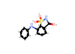 O=C1NS(=O)(=O)c2c(Nc3ccccc3)cccc21